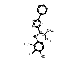 [C-]#[N+]c1ccc(N[C@@H](c2nnc(-c3ccccc3)o2)[C@H](C)OC(C)=O)c(C)c1Cl